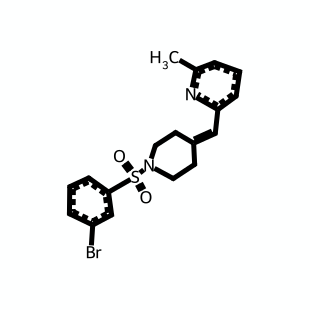 Cc1cccc(C=C2CCN(S(=O)(=O)c3cccc(Br)c3)CC2)n1